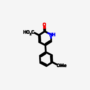 COc1cccc(-c2c[nH]c(=O)c(C(=O)O)c2)c1